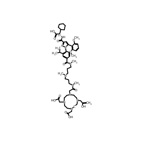 C=C(O)CN1CCN(CC(=O)O)CCN(CC(=O)O)CCN(CC(=O)N(C)CCCN(C)CCCN(C)C(=O)c2ccc(-n3nc(C(=O)N[C@H](C(=O)O)C4CCCCC4)cc3-c3c(OC)cccc3OC)c(C(C)C)c2)CC1